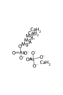 O=[As]([O-])([O-])[O-].O=[As]([O-])([O-])[O-].[CaH2].[CaH2].[CaH2].[Mg+2].[Mg+2].[Mg+2]